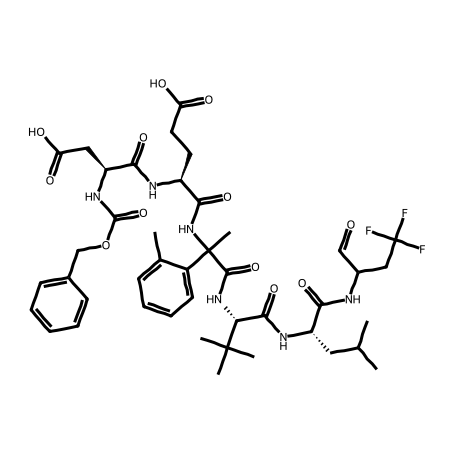 Cc1ccccc1C(C)(NC(=O)[C@H](CCC(=O)O)NC(=O)[C@H](CC(=O)O)NC(=O)OCc1ccccc1)C(=O)N[C@H](C(=O)N[C@@H](CC(C)C)C(=O)NC(C=O)CC(F)(F)F)C(C)(C)C